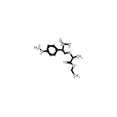 CCOC(=O)C(C)SCC(c1ccc(OC)cc1)[N+](=O)[O-]